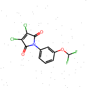 O=C1C(Cl)=C(Cl)C(=O)N1c1cccc(OC(F)F)c1